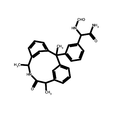 CC1NC(=O)C(C)c2cccc(c2)C(C)(c2cccc(C(NC=O)C(N)=O)c2)c2cccc1c2